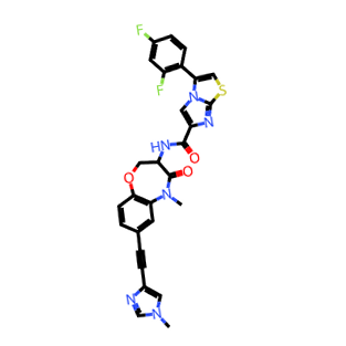 CN1C(=O)C(NC(=O)c2cn3c(-c4ccc(F)cc4F)csc3n2)COc2ccc(C#Cc3cn(C)cn3)cc21